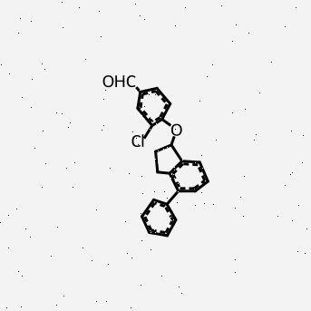 O=Cc1ccc(OC2CCc3c(-c4ccccc4)cccc32)c(Cl)c1